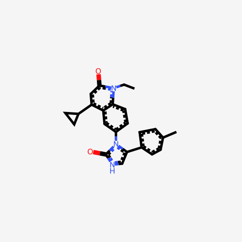 CCn1c(=O)cc(C2CC2)c2cc(-n3c(-c4ccc(C)cc4)c[nH]c3=O)ccc21